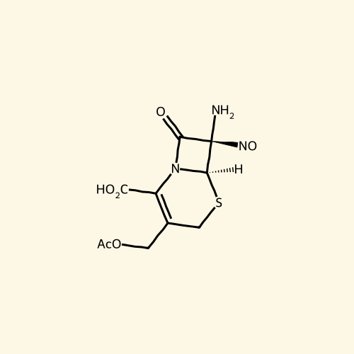 CC(=O)OCC1=C(C(=O)O)N2C(=O)[C@@](N)(N=O)[C@H]2SC1